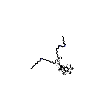 CCCCC/C=C\C/C=C\C/C=C\CCCCC(=O)OC[C@H](COP(=O)(O)OC1C(O)C(O)C(O)[C@@H](O)C1O)OC(=O)CCCCCCC/C=C\CCCCCCCC